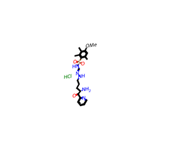 COc1cc(C)c(S(=O)(=O)NC=NNCCC[C@H](N)C(=O)c2ccccn2)c(C)c1C.Cl